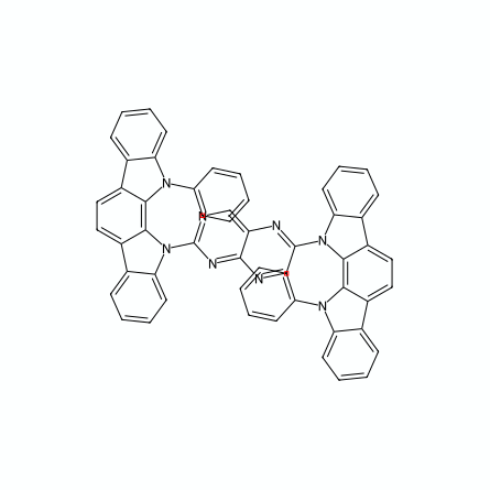 c1ccc(-n2c3ccccc3c3ccc4c5ccccc5n(-c5cnc6nc(-n7c8ccccc8c8ccc9c%10ccccc%10n(-c%10ccccc%10)c9c87)ncc6n5)c4c32)cc1